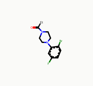 CCC(=O)N1CCN(c2cc(F)ccc2Br)CC1